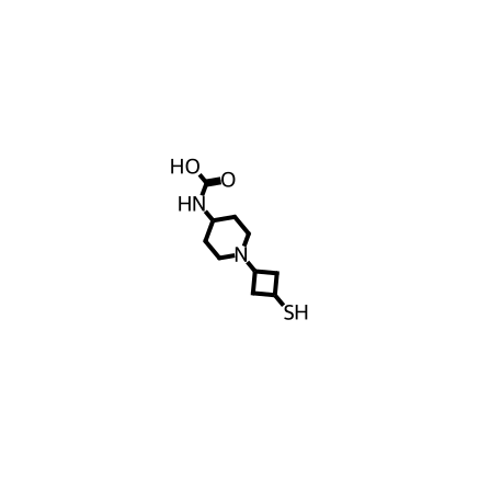 O=C(O)NC1CCN(C2CC(S)C2)CC1